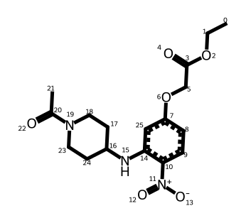 CCOC(=O)COc1ccc([N+](=O)[O-])c(NC2CCN(C(C)=O)CC2)c1